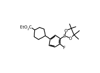 CCOC(=O)C1CCC(c2ccc(F)c(B3OC(C)(C)C(C)(C)O3)c2)CC1